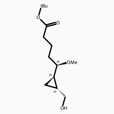 CO[C@H](CCCC(=O)OC(C)(C)C)[C@@H]1C[C@H]1CO